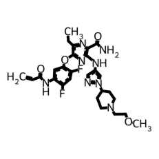 C=CC(=O)Nc1cc(Oc2nc(Nc3cnn(C4CCN(CCOC)CC4)c3)c(C(N)=O)nc2CC)c(F)cc1F